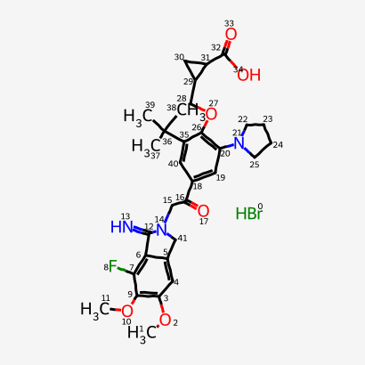 Br.COc1cc2c(c(F)c1OC)C(=N)N(CC(=O)c1cc(N3CCCC3)c(OCC3CC3C(=O)O)c(C(C)(C)C)c1)C2